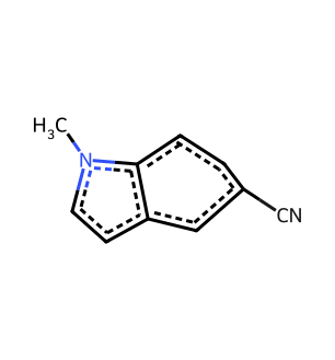 Cn1ccc2cc(C#N)ccc21